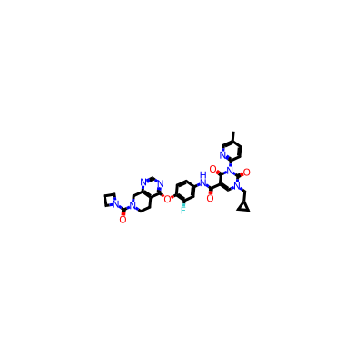 Cc1ccc(-n2c(=O)c(C(=O)Nc3ccc(Oc4ncnc5c4CCN(C(=O)N4CCC4)C5)c(F)c3)cn(CC3CC3)c2=O)nc1